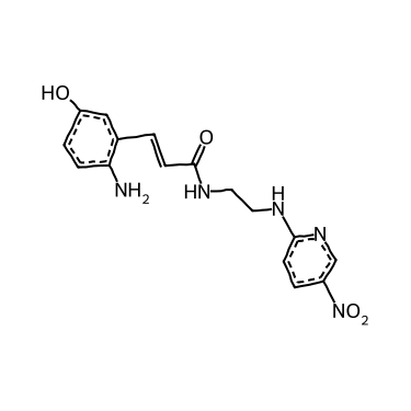 Nc1ccc(O)cc1/C=C/C(=O)NCCNc1ccc([N+](=O)[O-])cn1